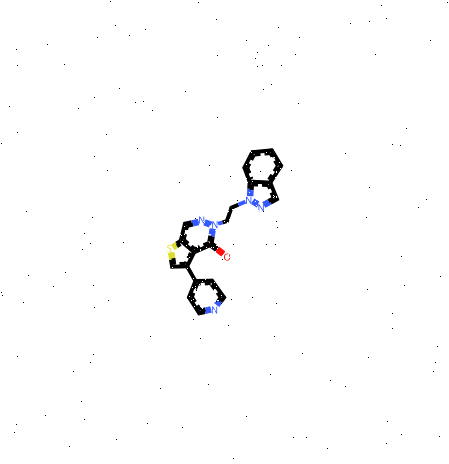 O=c1c2c(-c3ccncc3)csc2cnn1CCn1ncc2ccccc21